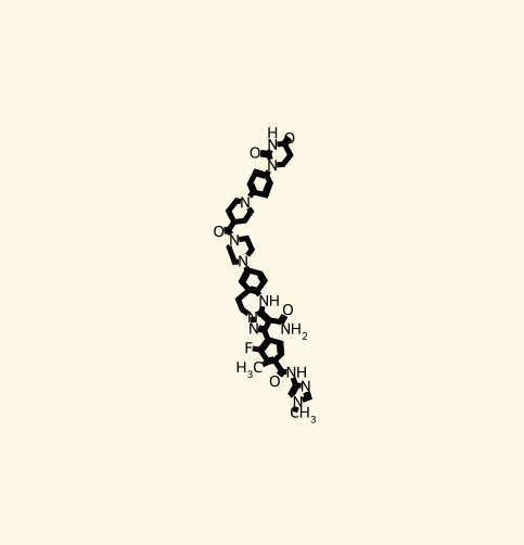 Cc1c(C(=O)Nc2cn(C)cn2)ccc(-c2nn3c(c2C(N)=O)Nc2ccc(N4CCN(C(=O)C5CCN(c6ccc(N7CCC(=O)NC7=O)cc6)CC5)CC4)cc2CC3)c1F